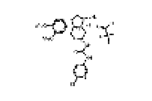 COc1ccc([C@@]23CC[C@@H](NC(=O)Nc4ccc(Cl)nc4)C[C@@H]2N(C)CC3)cc1OC.O=C(O)C(F)(F)F